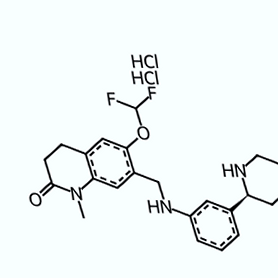 CN1C(=O)CCc2cc(OC(F)F)c(CNc3cccc([C@@H]4CCCCN4)c3)cc21.Cl.Cl